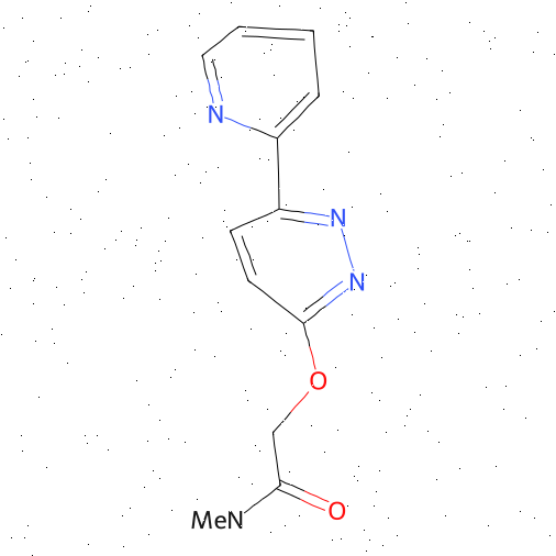 CNC(=O)COc1ccc(-c2ccccn2)nn1